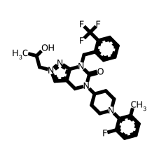 Cc1cccc(F)c1N1CCC(N2Cc3cn(CC(C)O)nc3N(Cc3ccccc3C(F)(F)F)C2=O)CC1